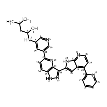 CC(C)CC(O)Nc1cncc(-c2ccc3[nH]nc(-c4cc5c(-c6ccccn6)ccnc5[nH]4)c3n2)c1